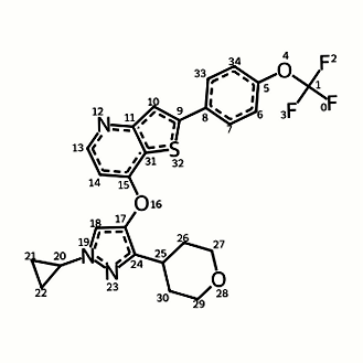 FC(F)(F)Oc1ccc(-c2cc3nccc(Oc4cn(C5CC5)nc4C4CCOCC4)c3s2)cc1